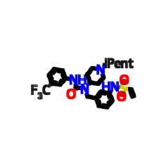 C=CS(=O)(=O)Nc1cccc(CN(C(=O)Nc2cccc(C(F)(F)F)c2)C2CCN(C(C)CCC)CC2)c1